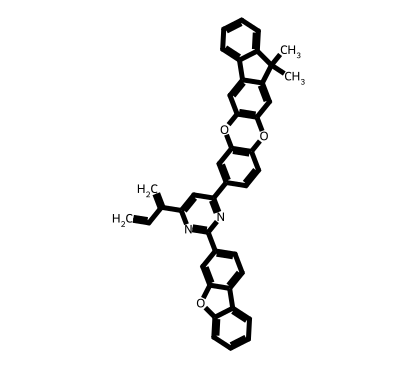 C=CC(=C)c1cc(-c2ccc3c(c2)Oc2cc4c(cc2O3)C(C)(C)c2ccccc2-4)nc(-c2ccc3c(c2)oc2ccccc23)n1